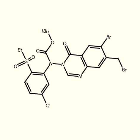 CCS(=O)(=O)c1ccc(Cl)cc1N(C(=O)OC(C)(C)C)n1cnc2cc(CBr)c(Br)cc2c1=O